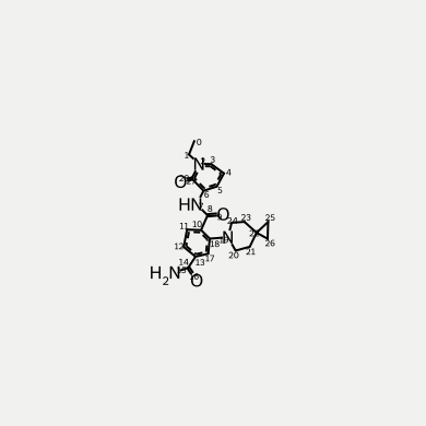 CCn1cccc(NC(=O)c2ccc(C(N)=O)cc2N2CCC3(CC2)CC3)c1=O